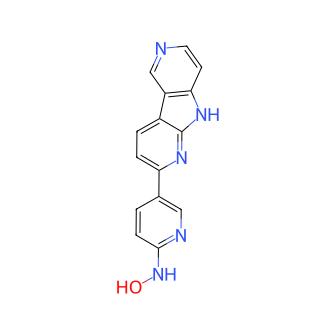 ONc1ccc(-c2ccc3c(n2)[nH]c2ccncc23)cn1